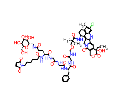 CC[C@@]1(O)C(=O)OCc2c1cc1n(c2=O)Cc2c-1nc1cc(Cl)c(C)c3c1c2[C@@H](NC(=O)C(C)(C)COCNC(=O)CNC(=O)[C@H](Cc1ccccc1)NC(=O)CNC(=O)CNC(=O)[C@H](CCC(=O)NC[C@@H]1O[C@H](CO)[C@@H](O)[C@H](O)[C@H]1O)NC(=O)CCCCCN1C(=O)C=CC1=O)CC3